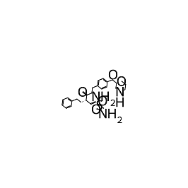 NCS(=O)(=O)C=C[C@H](CCc1ccccc1)C(=O)[C@@H](N)Cc1ccc(C(=O)C2CNCCO2)cc1